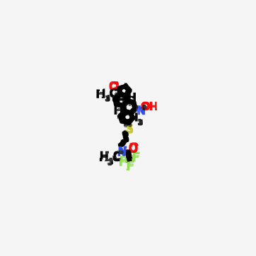 CN(CCCS[C@@H]1CC[C@@]2(C)C(C1)/C(=N/O)C[C@@H]1[C@@H]2CC[C@]2(C)C(=O)CC[C@@H]12)C(=O)C(F)(F)F